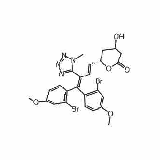 COc1ccc(C(=C(C=C[C@@H]2C[C@@H](O)CC(=O)O2)c2nnnn2C)c2ccc(OC)cc2Br)c(Br)c1